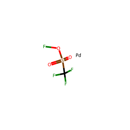 O=S(=O)(OF)C(F)(F)F.[Pd]